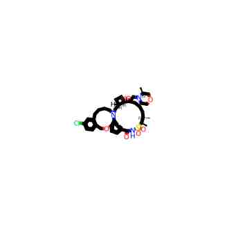 C[C@@H]1[C@@H](C)CCC[C@@](O)(CN2CCOC[C@@H]2C)[C@@H]2CC[C@H]2CN2CCCCc3cc(Cl)ccc3COc3ccc(cc32)C(=O)NS1(=O)=O